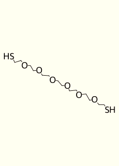 SCCOCCOCCOCCOCCOCCOCCS